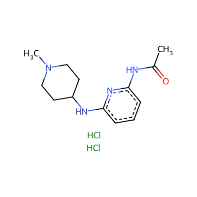 CC(=O)Nc1cccc(NC2CCN(C)CC2)n1.Cl.Cl